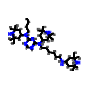 CCCCN(c1ncnc(N(CCCCCCNC2CC(C)(C)NC(C)(C)C2)C2CC(C)(C)NC(C)(C)C2)n1)C1CC(C)(C)NC(C)(C)C1